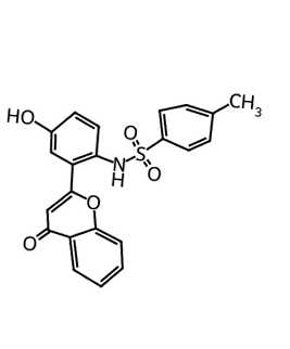 Cc1ccc(S(=O)(=O)Nc2ccc(O)cc2-c2cc(=O)c3ccccc3o2)cc1